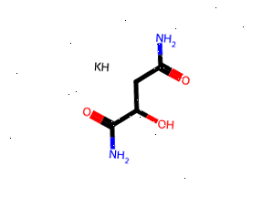 NC(=O)CC(O)C(N)=O.[KH]